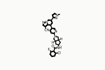 Cn1ccc(-c2cc(-c3ccc(N4C[C@@H]5C[C@@](C)(NC(=O)c6c(F)cccc6Cl)C[C@@H]5C4)nc3)c3c(C#N)cnn3c2)n1